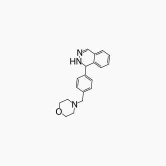 C1=NNC(c2ccc(CN3CCOCC3)cc2)c2ccccc21